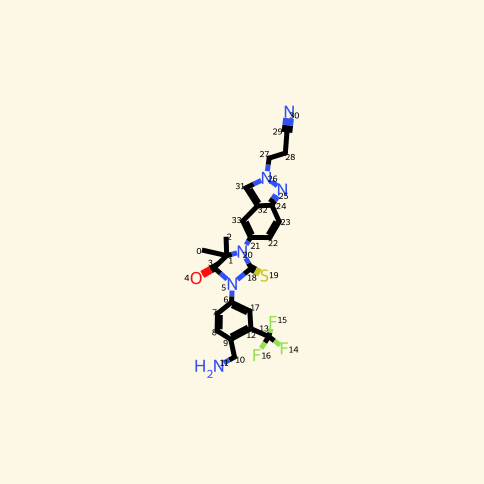 CC1(C)C(=O)N(c2ccc(CN)c(C(F)(F)F)c2)C(=S)N1c1ccc2nn(CCC#N)cc2c1